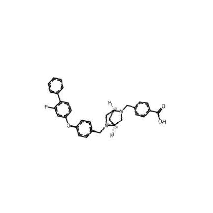 O=C(O)c1ccc(CN2C[C@@H]3C[C@H]2CN3Cc2ccc(Oc3ccc(-c4ccccc4)c(F)c3)cc2)cc1